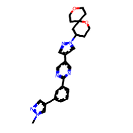 Cn1cc(-c2cccc(-c3ncc(-c4cnn(C5CCOC6(CCOCC6)C5)c4)cn3)c2)cn1